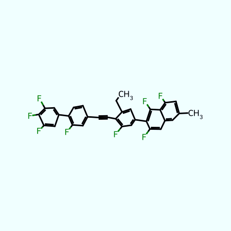 CCc1cc(-c2c(F)cc3cc(C)cc(F)c3c2F)cc(F)c1C#Cc1ccc(-c2cc(F)c(F)c(F)c2)c(F)c1